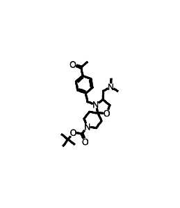 CC(=O)c1ccc(CN2C(CN(C)C)COC23CCN(C(=O)OC(C)(C)C)CC3)cc1